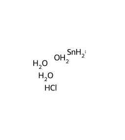 Cl.O.O.O.[SnH2]